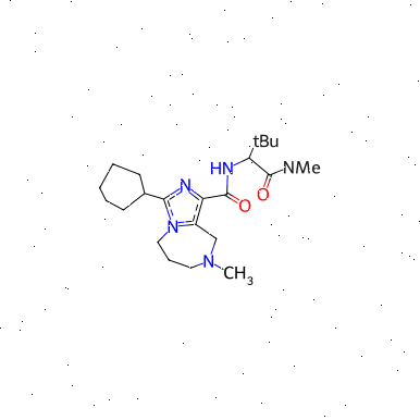 CNC(=O)C(NC(=O)c1nc(C2CCCCC2)n2c1CN(C)CCC2)C(C)(C)C